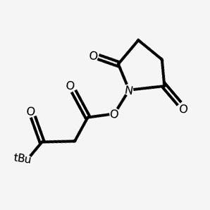 CC(C)(C)C(=O)CC(=O)ON1C(=O)CCC1=O